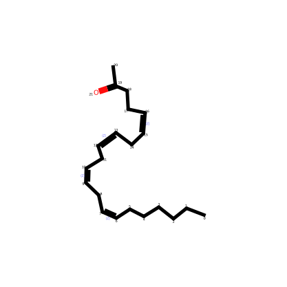 CCCCCC/C=C\C/C=C\C/C=C\C/C=C\CCC(C)=O